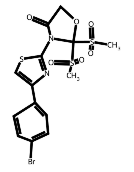 CS(=O)(=O)C1(S(C)(=O)=O)OCC(=O)N1c1nc(-c2ccc(Br)cc2)cs1